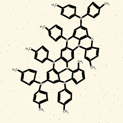 Cc1ccc(N(c2ccc(C)cc2)c2cc3c4c(c2)N(c2ccc(C)cc2)c2cc5c(cc2B4c2cc(C)ccc2O3)B2c3c(C)cccc3N(c3ccc(C)cc3)c3cc(N(c4ccc(C)cc4)c4ccc(C)cc4)cc(c32)N5c2ccc(C)cc2)cc1